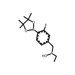 CCN(O)Cc1ccc(B2OC(C)(C)C(C)(C)O2)c(F)c1